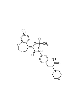 CS(=O)(=O)O/C(C(=O)Nc1ccc2c(c1)NC(=O)C(N1CCOCC1)C2)=C1/CCCOc2cc(C(F)(F)F)ccc21